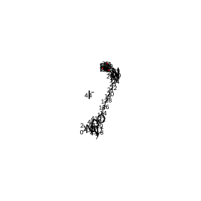 CC(C)n1c[n+](C(C)C)c2cc(OCCCCCCCCCCCCn3cc([C]45[CH]6[CH]7[CH]8[CH]4[Fe]786549%10%11[CH]5[CH]4[CH]9[CH]%10[CH]5%11)nn3)ccc21.[I-]